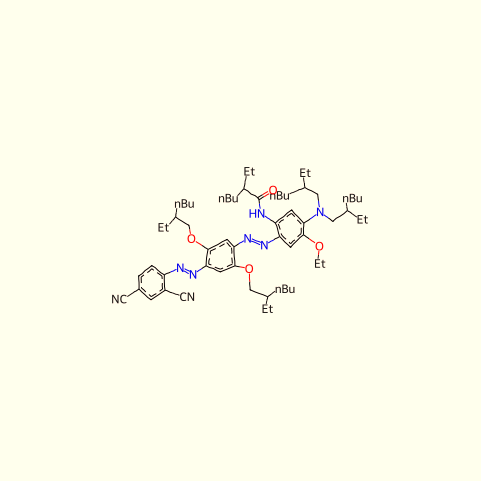 CCCCC(CC)COc1cc(/N=N/c2cc(OCC)c(N(CC(CC)CCCC)CC(CC)CCCC)cc2NC(=O)C(CC)CCCC)c(OCC(CC)CCCC)cc1/N=N/c1ccc(C#N)cc1C#N